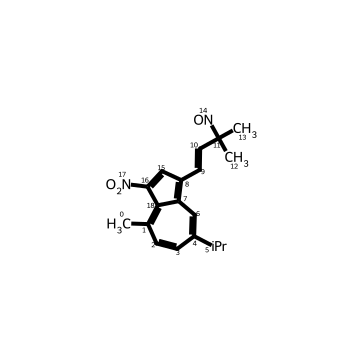 Cc1ccc(C(C)C)cc2c(C=CC(C)(C)N=O)cc([N+](=O)[O-])c1-2